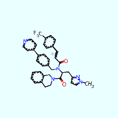 Cn1ccc(CC(C(=O)N2CCc3ccccc3C2)N(Cc2ccc(-c3ccncc3)cc2)C(=O)/C=C/c2ccc(C(F)(F)F)cc2)n1